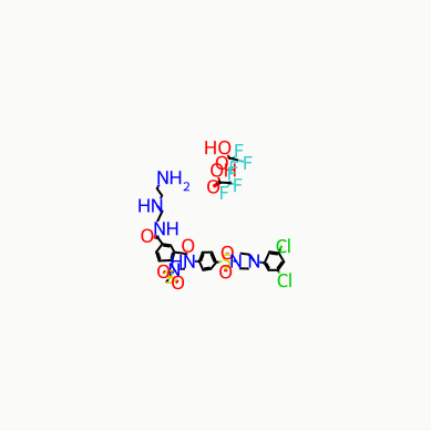 CN(c1ccc(C(=O)NCCNCCN)cc1C(=O)Nc1ccc(S(=O)(=O)N2CCN(c3cc(Cl)cc(Cl)c3)CC2)cc1)S(C)(=O)=O.O=C(O)C(F)(F)F.O=C(O)C(F)(F)F